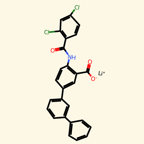 O=C(Nc1ccc(-c2cccc(-c3ccccc3)c2)cc1C(=O)[O-])c1ccc(Cl)cc1Cl.[Li+]